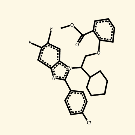 COC(=O)c1ccccc1OCC(C1CCCCC1)n1c(-c2ccc(Cl)cc2)nc2cc(F)c(F)cc21